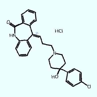 Cl.O=C1Nc2ccccc2/C(=C\CCN2CCC(O)(c3ccc(Cl)cc3)CC2)c2ccccc21